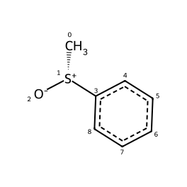 C[S@@+]([O-])c1ccccc1